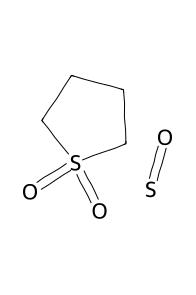 O=S.O=S1(=O)CCCC1